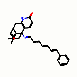 C/C=C1\C2C=C(C)CC1(/N=C/C=C/C=C/C=C/c1ccccc1)c1ccc(=O)[nH]c1C2